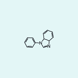 C1=CC2N=CN(c3ccccc3)C2C=C1